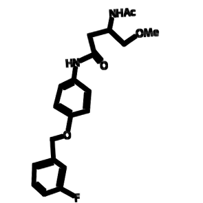 COCC(CC(=O)Nc1ccc(OCc2cccc(F)c2)cc1)NC(C)=O